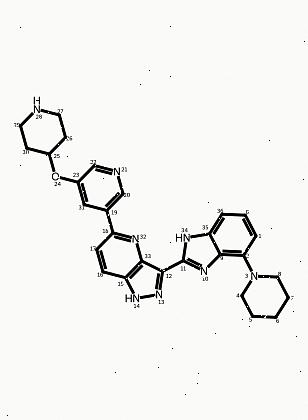 c1cc(N2CCCCC2)c2nc(-c3n[nH]c4ccc(-c5cncc(OC6CCNCC6)c5)nc34)[nH]c2c1